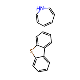 C1=CC=CNC=C1.c1ccc2c(c1)sc1ccccc12